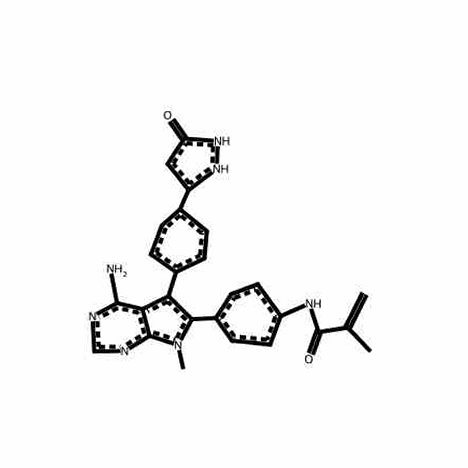 C=C(C)C(=O)Nc1ccc(-c2c(-c3ccc(-c4cc(=O)[nH][nH]4)cc3)c3c(N)ncnc3n2C)cc1